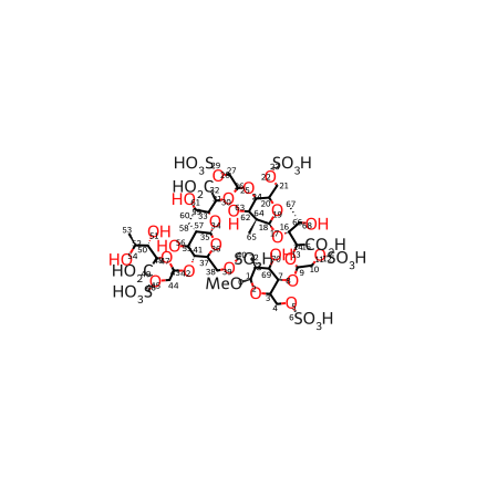 CO[C@@H]1OC(COS(=O)(=O)O)[C@H](OC(COS(=O)(=O)O)OC(C(=O)O)[C@H](O[C@@H]2OC(COS(=O)(=O)O)[C@H](OC(COS(=O)(=O)O)OC(C(=O)O)[C@H](O[C@@H]3OC(COS(=O)(=O)O)[C@H](OC(COS(=O)(=O)O)OC(C(=O)O)[C@@H](O)[C@H](C)O)C(O)[C@@H]3C)[C@H](C)O)C(O)[C@@H]2C)[C@H](C)O)C(O)[C@@H]1C